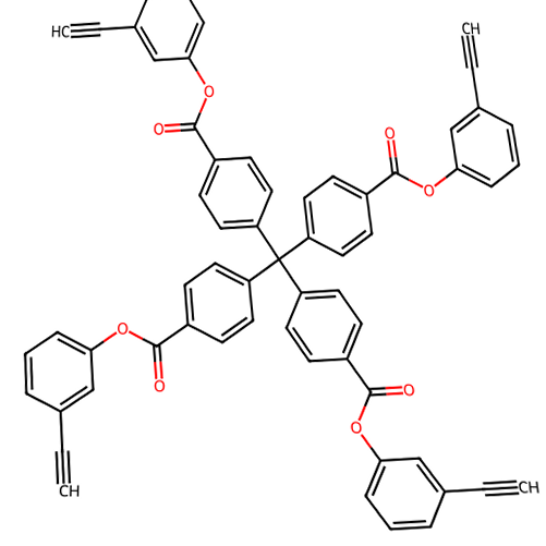 C#Cc1cccc(OC(=O)c2ccc(C(c3ccc(C(=O)Oc4cccc(C#C)c4)cc3)(c3ccc(C(=O)Oc4cccc(C#C)c4)cc3)c3ccc(C(=O)Oc4cccc(C#C)c4)cc3)cc2)c1